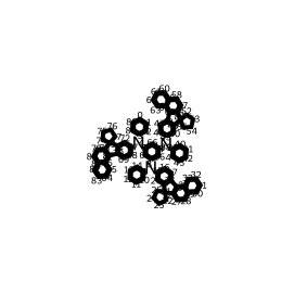 c1ccc(N(c2cc(N(c3ccccc3)c3ccc4c(c3)C3(CCCC3)c3ccc5ccccc5c3-4)cc(N(c3ccccc3)c3ccc4c(c3)C3(CCCC3)c3ccc5ccccc5c3-4)c2)c2ccc3c(c2)C2(CCCC2)c2ccc4ccccc4c2-3)cc1